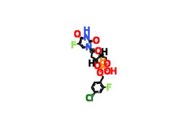 O=c1[nH]c(=O)n([C@H]2C[C@@H]3O[PH](O)(OCc4ccc(Cl)cc4F)OC[C@H]3O2)cc1F